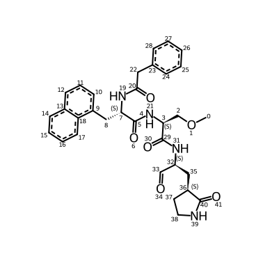 COC[C@H](NC(=O)[C@H](Cc1cccc2ccccc12)NC(=O)Cc1ccccc1)C(=O)N[C@H](C=O)C[C@@H]1CCNC1=O